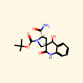 CC(C)(C)OC(=O)N1C[C@]2(C[C@H]1C(N)=O)C(=O)Nc1ccccc1C2O